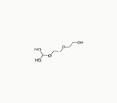 OCCOCCOC(O)O